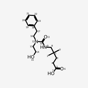 CC(C)(CCC(=O)O)CNC(=O)N(CCO)CCc1ccccc1